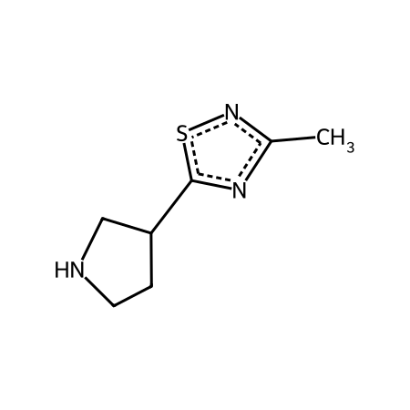 Cc1nsc(C2CCNC2)n1